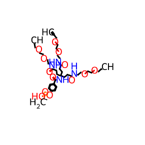 C#CCOCCOCCNC(=O)CCC(CCC(=O)NCCOCCOCC#C)(CCC(=O)NCCOCCOCC#C)NC(=O)c1ccc(OP(=O)(O)C=C)cc1